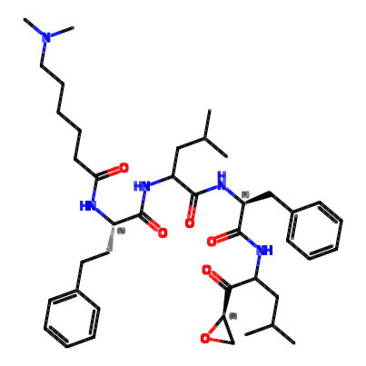 CC(C)CC(NC(=O)[C@H](CCc1ccccc1)NC(=O)CCCCCN(C)C)C(=O)N[C@@H](Cc1ccccc1)C(=O)NC(CC(C)C)C(=O)[C@H]1CO1